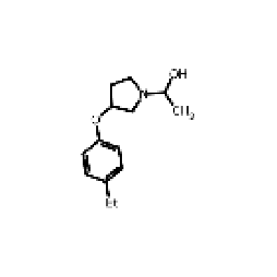 CCc1ccc(OC2CCN(C(C)O)C2)cc1